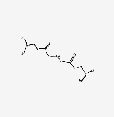 O=C(CCN(Cl)Br)OBOC(=O)CCN(Cl)Br